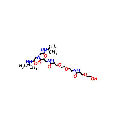 CC(C)NC(=O)CN(CC(=O)NC(C)C)C(=O)CCNC(=O)CCOCCOCCNC(=O)CCOCCO